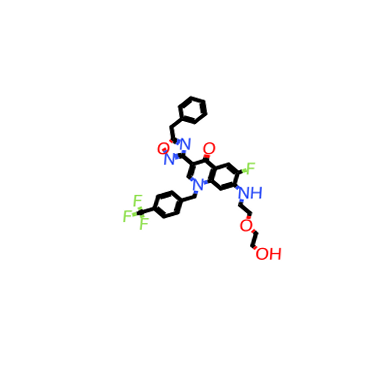 O=c1c(-c2noc(Cc3ccccc3)n2)cn(Cc2ccc(C(F)(F)F)cc2)c2cc(NCCOCCO)c(F)cc12